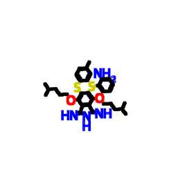 Cc1ccc(Sc2c(OCCCC(C)C)c3c(c(OCCCC(C)C)c2Sc2ccccc2N)C(=N)NC3=N)cc1